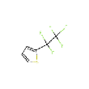 FC(F)(F)C(F)(F)c1cccs1